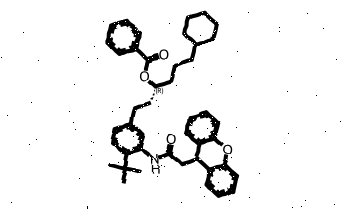 CC(C)(C)c1ccc(CC[C@@H](CCCC2CCCCC2)OC(=O)c2ccccc2)cc1NC(=O)CC1c2ccccc2Oc2ccccc21